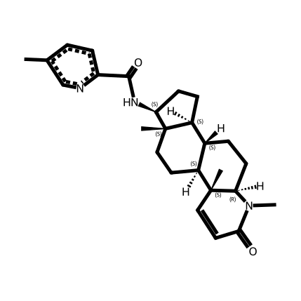 Cc1ccc(C(=O)N[C@H]2CC[C@H]3[C@@H]4CC[C@H]5N(C)C(=O)C=C[C@]5(C)[C@H]4CC[C@]23C)nc1